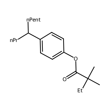 CCCCCC(CCC)c1ccc(OC(=O)C(C)(C)CC)cc1